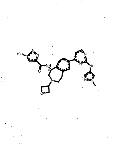 Cn1cc(Nc2nccc(-c3ccc4c(c3)CCN(C3COC3)C[C@H]4NC(=O)c3cn(C(C)(C)C)nn3)n2)cn1